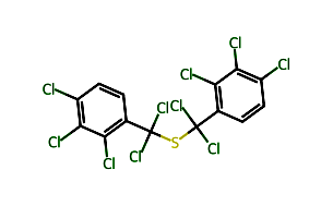 Clc1ccc(C(Cl)(Cl)SC(Cl)(Cl)c2ccc(Cl)c(Cl)c2Cl)c(Cl)c1Cl